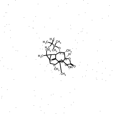 CC1=CC23C(=O)C(C4C(C[C@H]2C)C4(C)C)[C@H](O[Si](C)(C)C(C)(C)C)[C@H](C)[C@H]2OC(=O)O[C@]23C1O